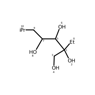 CCC(O)(CO)C(O)C(O)CC(C)C